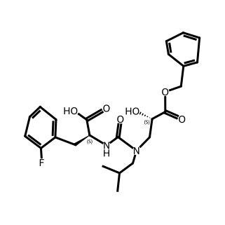 CC(C)CN(C[C@H](O)C(=O)OCc1ccccc1)C(=O)N[C@@H](Cc1ccccc1F)C(=O)O